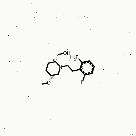 CO[C@@H]1CC[C@H](CO)N(CCc2c(F)cccc2P)C1